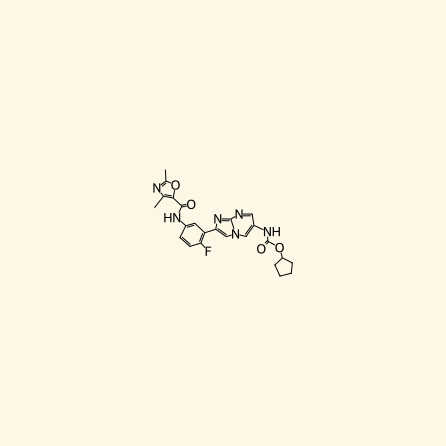 Cc1nc(C)c(C(=O)Nc2ccc(F)c(-c3cn4cc(NC(=O)OC5CCCC5)cnc4n3)c2)o1